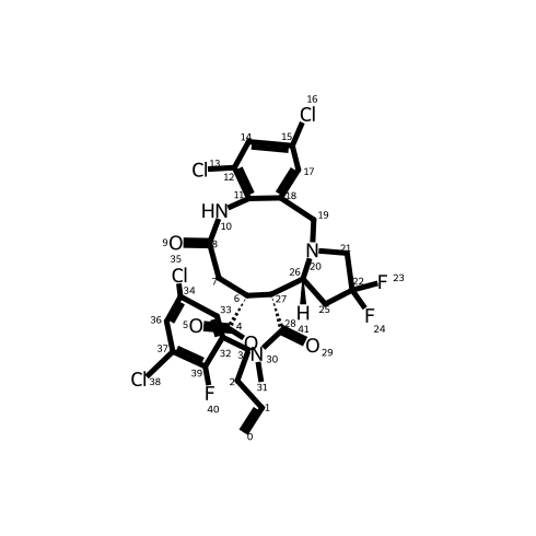 C=CCOC(=O)[C@@H]1CC(=O)Nc2c(Cl)cc(Cl)cc2CN2CC(F)(F)C[C@@H]2[C@@H]1C(=O)N(C)c1cc(Cl)cc(Cl)c1F